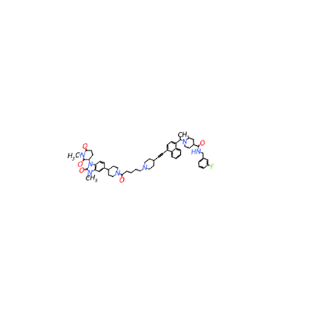 CC(c1ccc(C#CC2CCN(CCCCC(=O)N3CCC(c4ccc5c(c4)n(C)c(=O)n5C4CCC(=O)N(C)C4=O)CC3)CC2)c2ccccc12)N1CCC(C(=O)NCc2cccc(F)c2)CC1